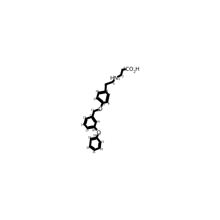 O=C(O)CCNCCc1ccc(OCc2cccc(Oc3ccccc3)c2)cc1